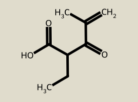 C=C(C)C(=O)C(CC)C(=O)O